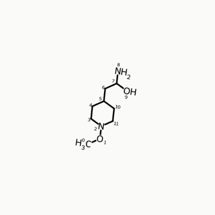 CON1CCC(CC(N)O)CC1